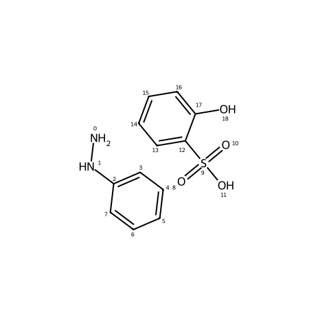 NNc1ccccc1.O=S(=O)(O)c1ccccc1O